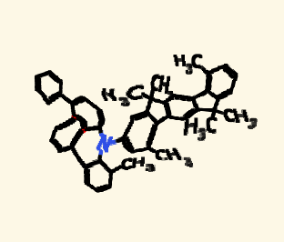 Cc1cccc2c1-c1cc3c(cc1C2(C)C)-c1c(C)cc(N(c2ccc(-c4ccccc4)cc2)C2C(c4ccccc4)=CC=CC2C)cc1C3(C)C